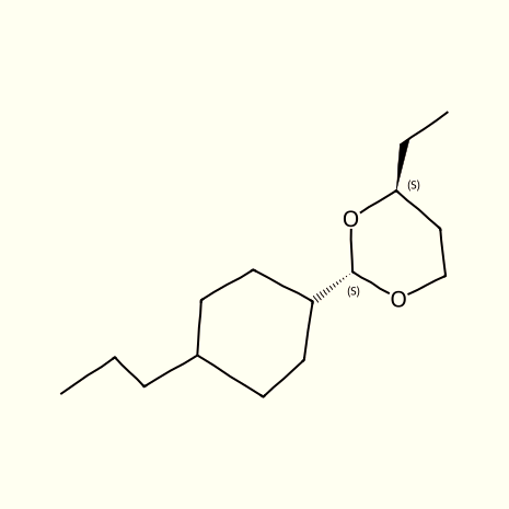 CCCC1CCC([C@H]2OCC[C@H](CC)O2)CC1